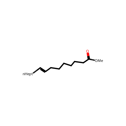 CCCCCCCC=CCCCCCCC(=O)OC